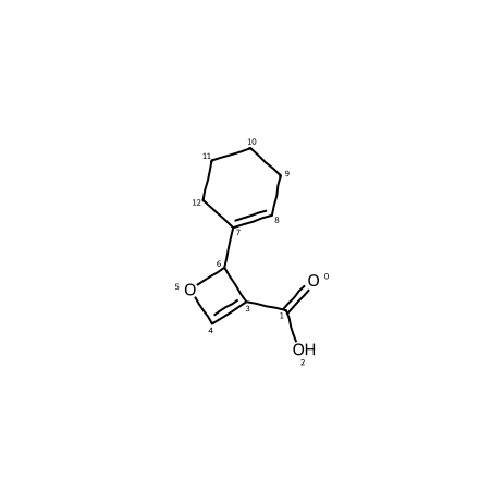 O=C(O)C1=COC1C1=CCCCC1